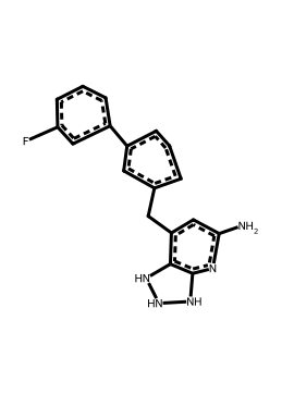 Nc1cc(Cc2cccc(-c3cccc(F)c3)c2)c2c(n1)NNN2